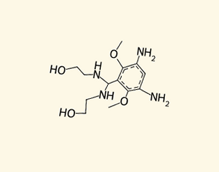 COc1c(N)cc(N)c(OC)c1C(NCCO)NCCO